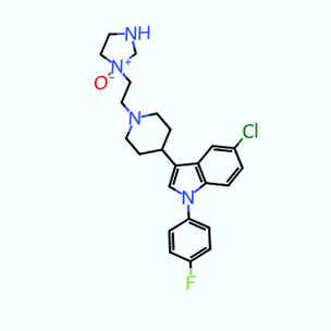 [O-][N+]1(CCN2CCC(c3cn(-c4ccc(F)cc4)c4ccc(Cl)cc34)CC2)CCNC1